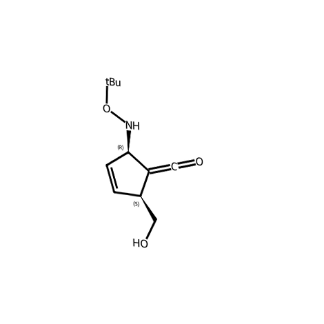 CC(C)(C)ON[C@@H]1C=C[C@H](CO)C1=C=O